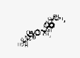 CCN(C)C(=O)c1cccc2c(NC(C)CN3CCN(S(=O)(=O)c4sc(NC(=O)O)nc4C)CC3)ncnc12